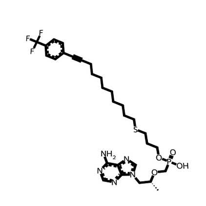 C[C@H](Cn1cnc2c(N)ncnc21)OCP(=O)(O)OCCCSCCCCCCCCCC#Cc1ccc(C(F)(F)F)cc1